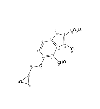 CCOC(=O)c1sc2ccc(OCC3CO3)c(C=O)c2c1Cl